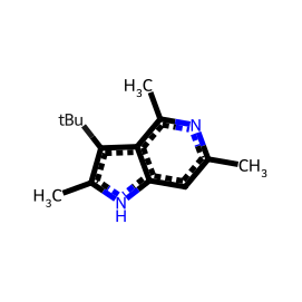 Cc1cc2[nH]c(C)c(C(C)(C)C)c2c(C)n1